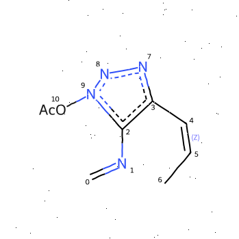 C=Nc1c(/C=C\C)nnn1OC(C)=O